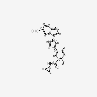 Cc1cc(F)c(C(=O)NC2CC2)cc1-c1cnn(-c2cnc3ccc(C=O)cn23)c1